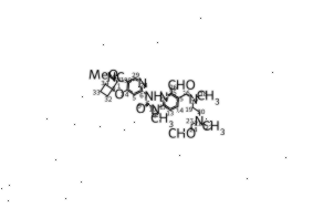 COCC1(Oc2cc(NC(=O)N(C)c3ccc(CN(C)CCN(C)CC=O)c(C=O)n3)ncc2C#N)CCC1